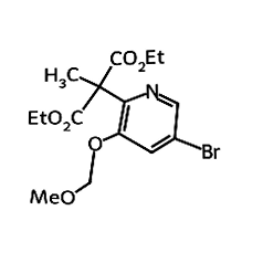 CCOC(=O)C(C)(C(=O)OCC)c1ncc(Br)cc1OCOC